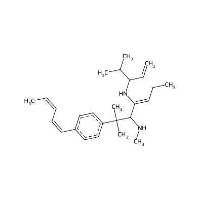 C=CC(N/C(=C\CC)C(NC)C(C)(C)c1ccc(/C=C\C=C/C)cc1)C(C)C